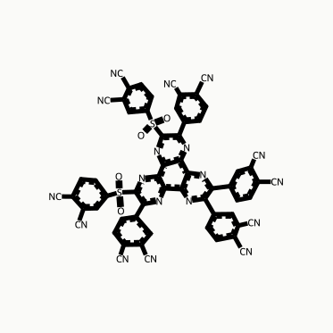 N#Cc1ccc(-c2nc3c(nc2-c2ccc(C#N)c(C#N)c2)c2nc(-c4ccc(C#N)c(C#N)c4)c(S(=O)(=O)c4ccc(C#N)c(C#N)c4)nc2c2nc(S(=O)(=O)c4ccc(C#N)c(C#N)c4)c(-c4ccc(C#N)c(C#N)c4)nc32)cc1C#N